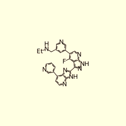 CCNCc1cncc(-c2cnc3[nH]nc(-c4nc5c(-c6cccnc6)ccnc5[nH]4)c3c2F)c1